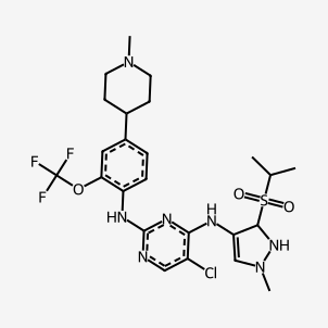 CC(C)S(=O)(=O)C1NN(C)C=C1Nc1nc(Nc2ccc(C3CCN(C)CC3)cc2OC(F)(F)F)ncc1Cl